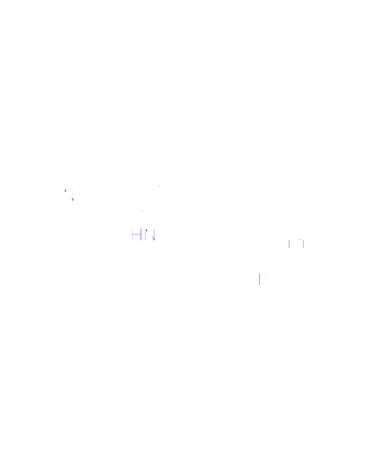 CC(C)C1CC=C2C[C@@H](NC(=O)c3ccncc3)CC[C@]2(C)C1C(C)C